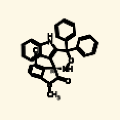 CN1C(=O)[C@@]2(NOC(c3ccccc3)(c3ccccc3)c3[nH]c4ccccc4c32)c2c(Cl)cccc21